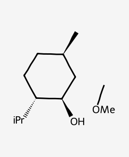 CC(C)[C@@H]1CC[C@@H](C)C[C@H]1O.COC